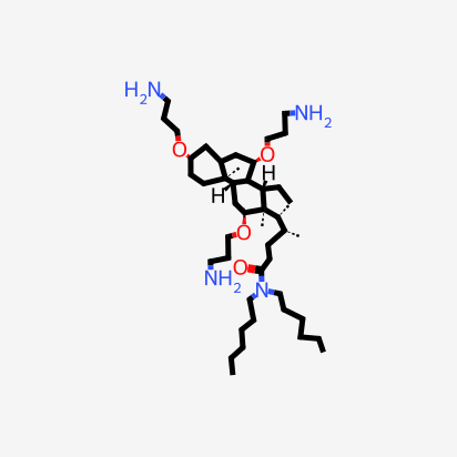 CCCCCCN(CCCCCC)C(=O)CC[C@@H](C)[C@H]1CC[C@H]2C3[C@H](OCCCN)CC4C[C@H](OCCCN)CC[C@]4(C)[C@H]3C[C@H](OCCCN)[C@]12C